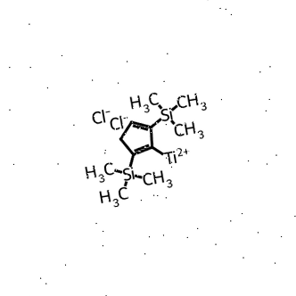 C[Si](C)(C)C1=CCC([Si](C)(C)C)=[C]1[Ti+2].[Cl-].[Cl-]